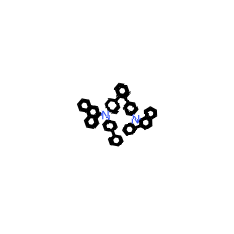 C1=CC(N(c2ccc(-c3ccccc3)cc2)c2cc3ccccc3c3ccccc23)CCC1c1ccccc1-c1ccc(-n2c3ccccc3c3ccc4ccccc4c32)cc1